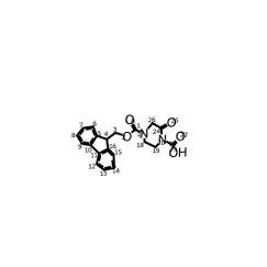 O=C(OCC1c2ccccc2-c2ccccc21)N1CCN(C(=O)O)C(=O)C1